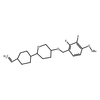 C=CC1CCC(C2CCC(OCc3ccc(OCCCC)c(F)c3F)CO2)CC1